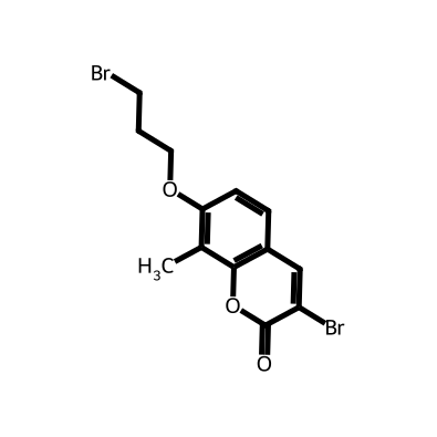 Cc1c(OCCCBr)ccc2cc(Br)c(=O)oc12